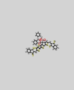 O=C(OCc1ccccc1)C1(C(=O)OCc2ccccc2)c2cc(C=C3C(=S)c4ccccc4C3=S)sc2-c2sc3c(sc4cc(/C=C5/C(=S)c6ccccc6C5S)sc43)c21